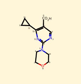 O=C(O)c1cnc(N2CCOCC2)nc1C1CC1